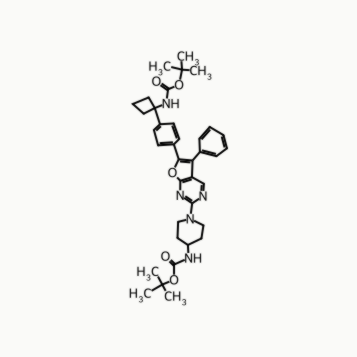 CC(C)(C)OC(=O)NC1CCN(c2ncc3c(-c4ccccc4)c(-c4ccc(C5(NC(=O)OC(C)(C)C)CCC5)cc4)oc3n2)CC1